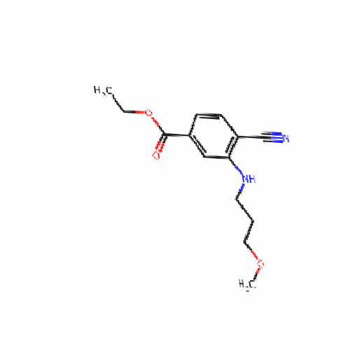 CCOC(=O)c1ccc(C#N)c(NCCCOC)c1